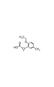 CCOc1ccc(C)cc1C1CC1C(=O)O